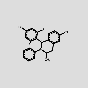 CC1Cc2cc(O)ccc2[C@H](c2c(F)cc(Br)cc2F)N1c1ccccc1